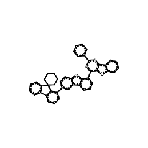 c1ccc(-c2nc(-c3cccc4c3oc3ccc(-c5cccc6c5C5(CCCCC5)c5ccccc5-6)cc34)c3oc4ccccc4c3n2)cc1